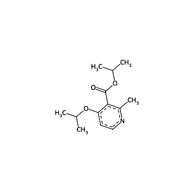 Cc1nccc(OC(C)C)c1C(=O)OC(C)C